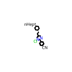 CCCCCCC[C@H]1CC[C@H](CCC2=CN(Cl)C(c3ccc(C#N)cc3)N=C2)CC1